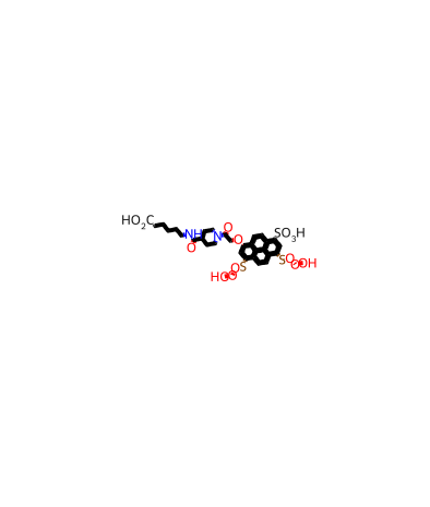 O=C(O)CCCCCNC(=O)C1CCN(C(=O)COc2cc(SOOO)c3ccc4c(SOOO)cc(S(=O)(=O)O)c5ccc2c3c45)CC1